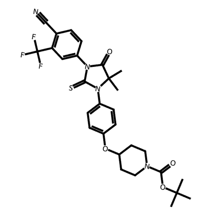 CC(C)(C)OC(=O)N1CCC(Oc2ccc(N3C(=S)N(c4ccc(C#N)c(C(F)(F)F)c4)C(=O)C3(C)C)cc2)CC1